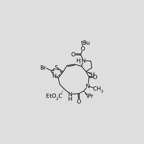 CCOC(=O)[C@@H]1Cc2nc(Br)sc2C=C[C@@H]2[C@H](CCN2C(=O)OC(C)(C)C)C(=O)N(C)[C@@H](C(C)C)C(=O)N1